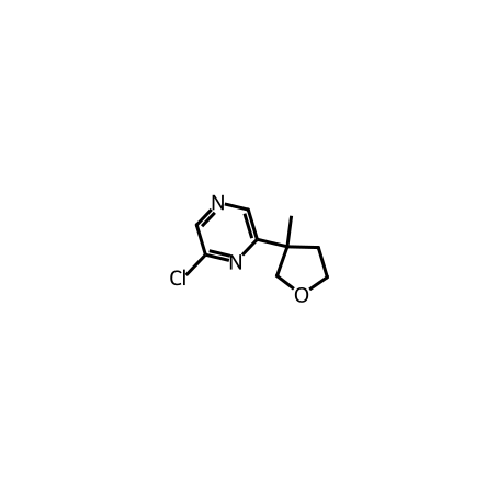 CC1(c2cncc(Cl)n2)CCOC1